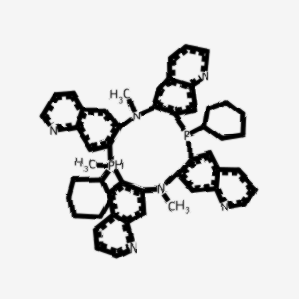 CN1c2cc3ncccc3cc2P(C2CCCCC2)c2cc3ncccc3cc2N(C)c2cc3cccnc3cc2[PH](C)(C2CCCCC2)c2cc3cccnc3cc21